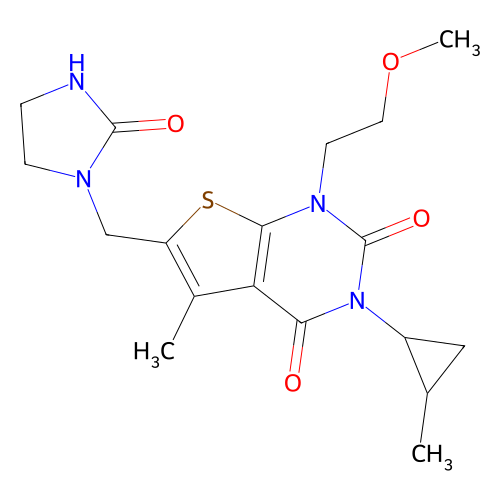 COCCn1c(=O)n(C2CC2C)c(=O)c2c(C)c(CN3CCNC3=O)sc21